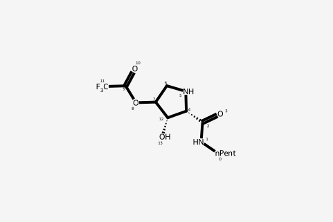 CCCCCNC(=O)[C@H]1NCC(OC(=O)C(F)(F)F)[C@H]1O